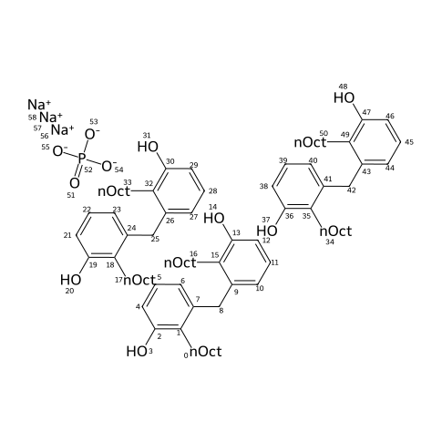 CCCCCCCCc1c(O)cccc1Cc1cccc(O)c1CCCCCCCC.CCCCCCCCc1c(O)cccc1Cc1cccc(O)c1CCCCCCCC.CCCCCCCCc1c(O)cccc1Cc1cccc(O)c1CCCCCCCC.O=P([O-])([O-])[O-].[Na+].[Na+].[Na+]